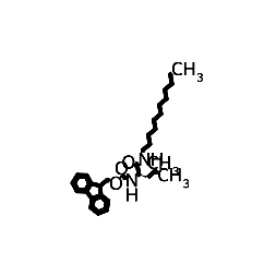 CCCCCCCCCCCCNC(=O)[C@H](CC(C)C)NC(=O)OCC1c2ccccc2-c2ccccc21